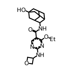 CCOc1nc(NC2COC2)ncc1C(=O)NC1C2CC3CC1CC(O)(C3)C2